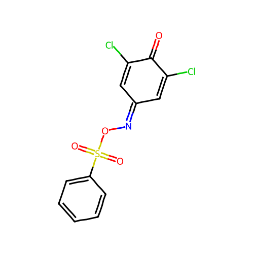 O=C1C(Cl)=CC(=NOS(=O)(=O)c2ccccc2)C=C1Cl